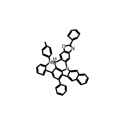 Cc1ccc(Nc2ccccc2-c2cc(-c3ccccc3)c3c4cc5ccccc5cc4n4c3c2Bc2cc3oc(-c5ccccc5)nc3cc2-4)cc1